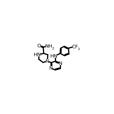 NC(=O)C1CN(c2nccnc2Nc2ccc(C(F)(F)F)cc2)CCN1